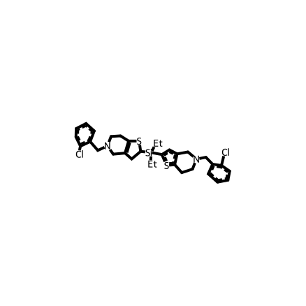 CC[Si](CC)(c1cc2c(s1)CCN(Cc1ccccc1Cl)C2)C1CC2=C(CCN(Cc3ccccc3Cl)C2)S1